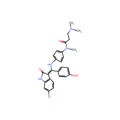 CN(C)CCC(=O)N(C)c1ccc(N/C(=C2\C(=O)Nc3cc(Cl)ccc32)c2ccc(O)cc2)cc1